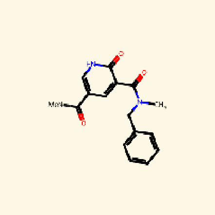 CNC(=O)c1c[nH]c(=O)c(C(=O)N(C)Cc2ccccc2)c1